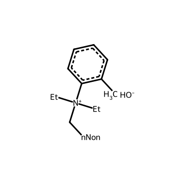 CCCCCCCCCC[N+](CC)(CC)c1ccccc1C.[OH-]